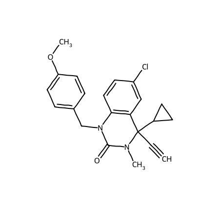 C#CC1(C2CC2)c2cc(Cl)ccc2N(Cc2ccc(OC)cc2)C(=O)N1C